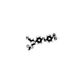 CC(=O)OCCN(CCC#N)c1ccc(N=Nc2ccc([N+](=O)[O-])cc2)cc1